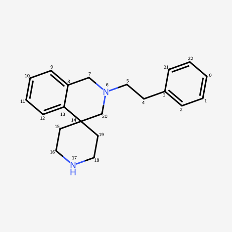 c1ccc(CCN2Cc3ccccc3C3(CCNCC3)C2)cc1